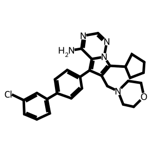 Nc1ncnn2c(C3CCCC3)c(CN3CCOCC3)c(-c3ccc(-c4cccc(Cl)c4)cc3)c12